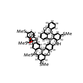 CSc1cc2c3c(c1)N(SC)c1cc4c(cc1B3c1ccccc1O2)B1c2cc3c(cc2Oc2cc(SC)cc(c21)N4SC)Nc1cc(SC)cc2c1B3c1cccc3c1N2c1ccccc1O3